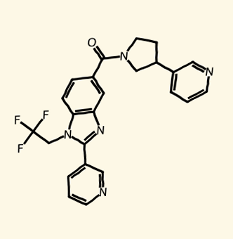 O=C(c1ccc2c(c1)nc(-c1cccnc1)n2CC(F)(F)F)N1CCC(c2cccnc2)C1